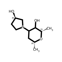 C[C@@H]1CC(N2CC[C@@H](O)C2)C(O)[C@H](C)O1